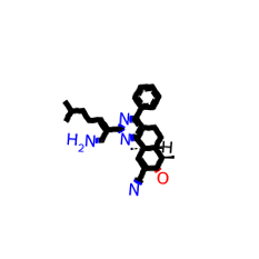 CC(C)CC/C=C(\CN)c1nc(-c2ccccc2)c2c(n1)[C@]1(C)C=C(C#N)C(=O)[C@H](C)[C@H]1CC2